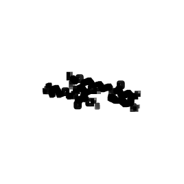 C[Si](C)(C)CCOCn1ncc(N[C@H](CCCn2ccc3cc(Br)c(F)cc3c2=O)CCOC(F)F)c(C(F)(F)F)c1=O